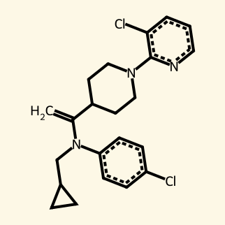 C=C(C1CCN(c2ncccc2Cl)CC1)N(CC1CC1)c1ccc(Cl)cc1